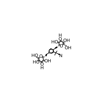 CC(C)(C#N)c1cc(C#C[C@H]2O[C@H](CO)[C@@H](O)[C@H](O)[C@@H]2O)ccc1C#C[C@H]1O[C@H](CO)[C@@H](O)[C@H](O)[C@@H]1O